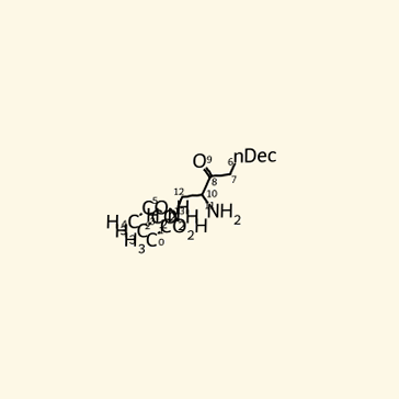 CC(=O)O.CC(=O)O.CC(=O)O.CCCCCCCCCCCC(=O)C(N)CN